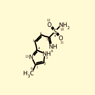 Cc1c[nH]c(/C=C\C(=N)S(N)(=O)=O)n1